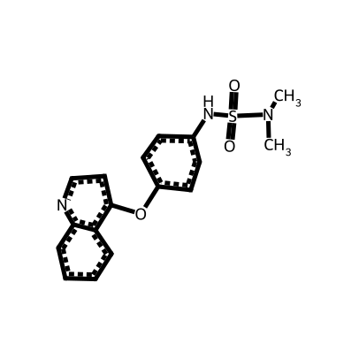 CN(C)S(=O)(=O)Nc1ccc(Oc2ccnc3ccccc23)cc1